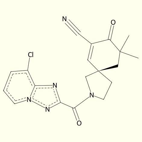 CC1(C)C[C@@]2(C=C(C#N)C1=O)CCN(C(=O)c1nc3c(Cl)cccn3n1)C2